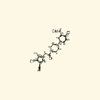 C#Cc1nn(CC(=O)N2CCN(c3ccc(Cl)c(OC)c3)CC2)c(C)c1Cl